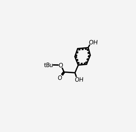 CC(C)(C)OC(=O)C(O)c1ccc(O)cc1